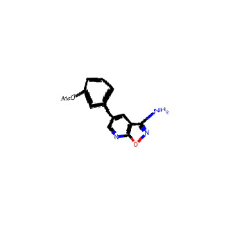 COc1cccc(-c2cnc3onc(N)c3c2)c1